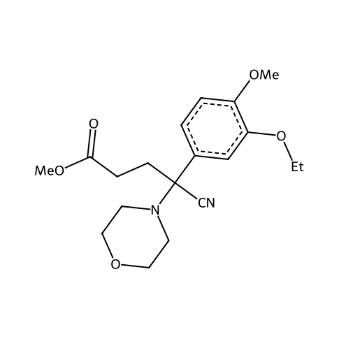 CCOc1cc(C(C#N)(CCC(=O)OC)N2CCOCC2)ccc1OC